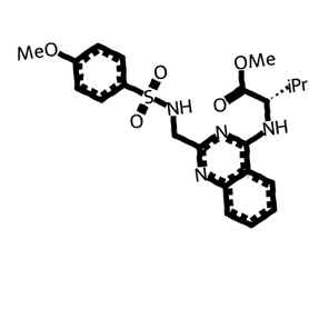 COC(=O)[C@@H](Nc1nc(CNS(=O)(=O)c2ccc(OC)cc2)nc2ccccc12)C(C)C